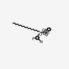 CCCCCCCCCCCCCCCCCC[C@H](COP(=O)(OC)Oc1ccccc1Cl)OCc1cc(F)cc(C#N)c1